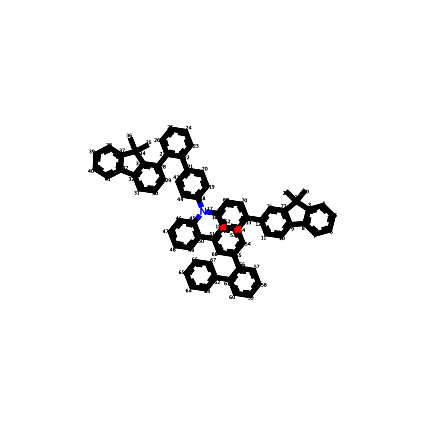 CC1(C)c2ccccc2-c2ccc(-c3ccc(N(c4ccc(-c5ccccc5-c5cccc6c5C(C)(C)c5ccccc5-6)cc4)c4ccccc4-c4cccc(-c5ccccc5-c5ccccc5)c4)cc3)cc21